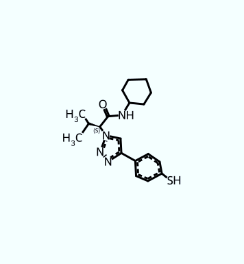 CC(C)[C@@H](C(=O)NC1CCCCC1)n1cc(-c2ccc(S)cc2)nn1